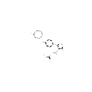 CCCCN(C)C(=O)OC(C)c1c(C)noc1-c1ccc(O[C@H]2CCC[C@H](C(=O)O)C2)cc1